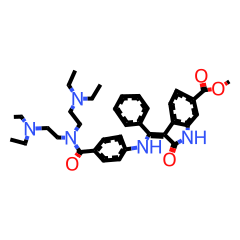 CCN(CC)CCN(CCN(CC)CC)C(=O)c1ccc(N/C(=C2\C(=O)Nc3cc(C(=O)OC)ccc32)c2ccccc2)cc1